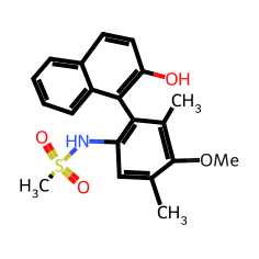 COc1c(C)cc(NS(C)(=O)=O)c(-c2c(O)ccc3ccccc23)c1C